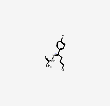 NC(=S)N/N=C(\CCCCl)c1ccc(Cl)cc1